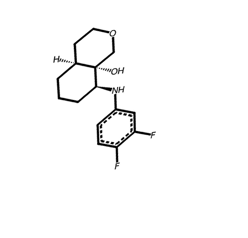 O[C@@]12COCC[C@@H]1CCC[C@@H]2Nc1ccc(F)c(F)c1